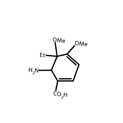 CCC1(OC)C(OC)=CC=C(C(=O)O)C1N